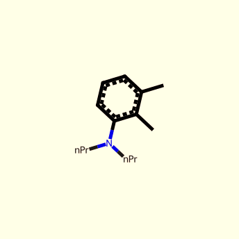 CCCN(CCC)c1cccc(C)c1C